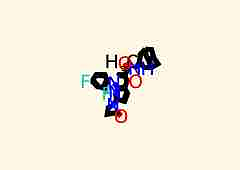 CC1(NC(=O)c2cn(-c3ccc(F)cc3F)c3nc(N4CCC4=O)ccc3c2=O)CC2CC3CC(C1)C3C2